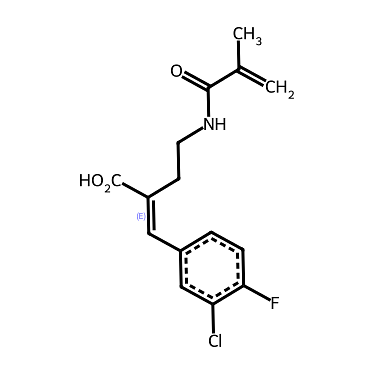 C=C(C)C(=O)NCC/C(=C\c1ccc(F)c(Cl)c1)C(=O)O